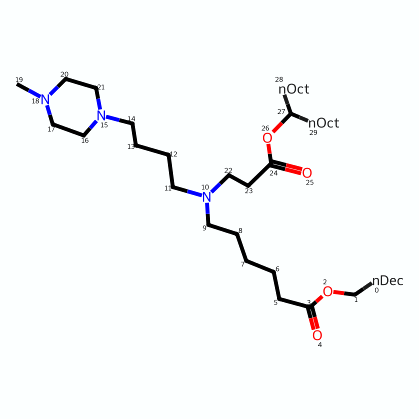 CCCCCCCCCCCOC(=O)CCCCCN(CCCCN1CCN(C)CC1)CCC(=O)OC(CCCCCCCC)CCCCCCCC